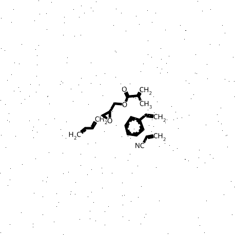 C=C(C)C(=O)OCC1CO1.C=CC#N.C=CC=C.C=Cc1ccccc1